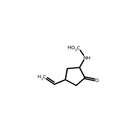 C=CC1CC(=O)C(NC(=O)O)C1